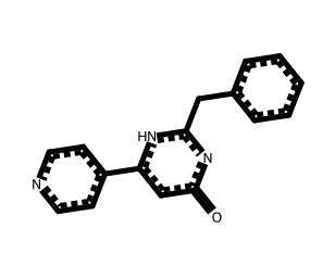 O=c1cc(-c2ccncc2)[nH]c(Cc2ccccc2)n1